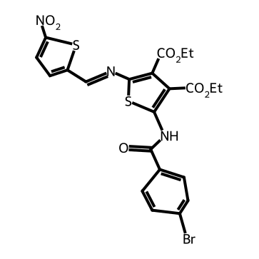 CCOC(=O)c1c(N=Cc2ccc([N+](=O)[O-])s2)sc(NC(=O)c2ccc(Br)cc2)c1C(=O)OCC